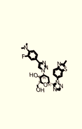 Cc1nc2ccc(-n3ncnc3[C@H]3C[C@@H](n4cc(-c5ccc(N(C)C)c(F)c5)nn4)[C@@H](O)[C@@H](CO)O3)cc2s1